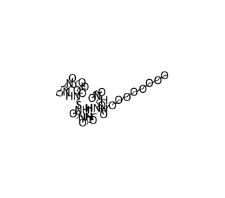 CC[C@@]1(OC(=O)NCCSCNC(=O)[C@H](C)NC(=O)[C@@H](NC(=O)CC[C@H](NC(=O)CCN2C(=O)C=CC2=O)C(=O)NCCOCCOCCOCCOCCOCCOCCOCCOC)C(C)C)C(=O)OCc2c1cc1n(c2=O)Cc2cc3ccccc3nc2-1